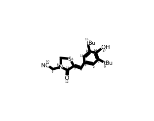 CC(C)(C)c1cc(/C=C2\SCN(CC#N)C2=O)cc(C(C)(C)C)c1O